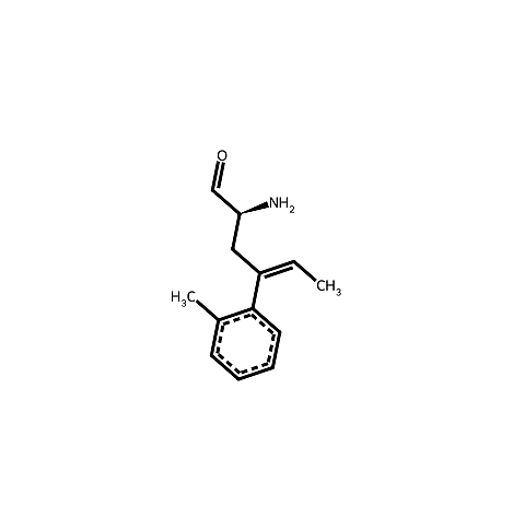 C/C=C(/C[C@H](N)C=O)c1ccccc1C